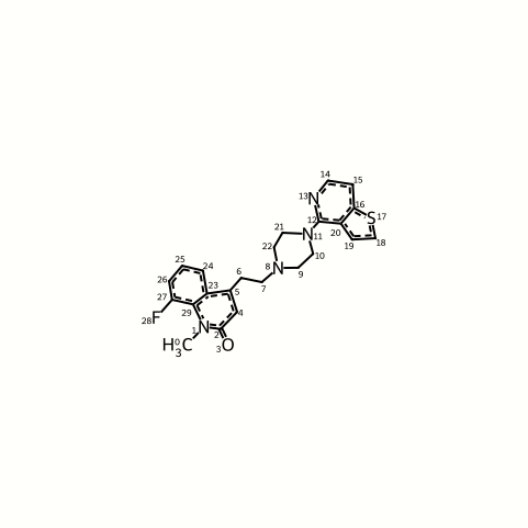 Cn1c(=O)cc(CCN2CCN(c3nccc4sccc34)CC2)c2cccc(F)c21